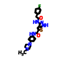 CN1CCN(c2ccc(NC(=O)c3cc4c(NC(=O)Cc5ccc(F)cc5)n[nH]c4s3)cc2)CC1